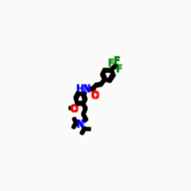 COc1ccc(NC(=O)C=Cc2ccc(C(F)(F)F)cc2)cc1CCCN(C(C)C)C(C)C